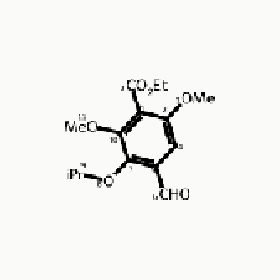 CCOC(=O)c1c(OC)cc(C=O)c(OC(C)C)c1OC